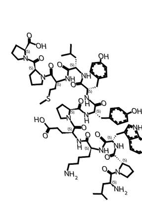 CSCC[C@H](NC(=O)[C@H](CC(C)C)NC(=O)[C@H](Cc1ccc(O)cc1)NC(=O)[C@H](Cc1ccc(O)cc1)NC(=O)[C@@H]1CCCN1C(=O)[C@H](CCC(=O)O)NC(=O)[C@H](CCCCN)NC(=O)[C@H](Cc1c[nH]c2ccccc12)NC(=O)[C@@H]1CCCN1C(=O)[C@@H](N)CC(C)C)C(=O)N1CCC[C@H]1C(=O)N1CCC[C@H]1C(=O)O